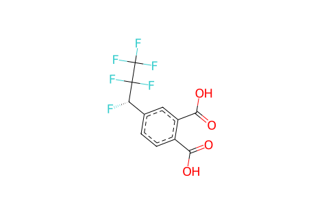 O=C(O)c1ccc([C@H](F)C(F)(F)C(F)(F)F)cc1C(=O)O